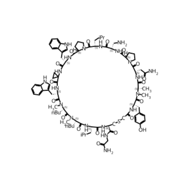 CCCC[C@H]1C(=O)N(C)[C@@H](CCCC)C(=O)N[C@@H](CC(C)C)C(=O)N[C@H](C(=O)NCC(N)=O)CSCC(=O)N[C@@H](Cc2ccc(O)cc2)C(=O)N(C)[C@@H](C)C(=O)N[C@@H](CC(N)=O)C(=O)N2CCC[C@H]2C(=O)N[C@@H](CN)C(=O)N[C@@H](CC(C)C)C(=O)N2CCC[C@H]2C(=O)N[C@@H](Cc2c[nH]c3ccccc23)C(=O)NC2(CC2)C(=O)N[C@@H](Cc2c[nH]c3ccccc23)C(=O)N1C